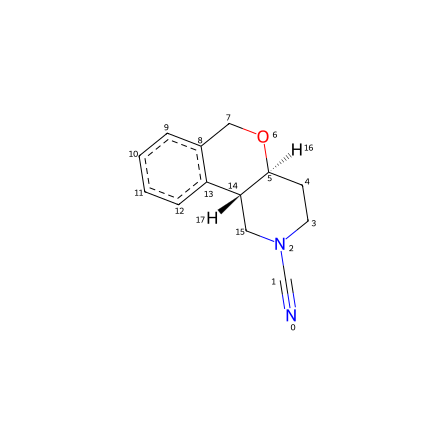 N#CN1CC[C@@H]2OCc3ccccc3[C@H]2C1